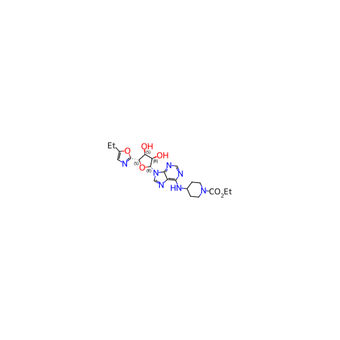 CCOC(=O)N1CCC(Nc2ncnc3c2ncn3[C@@H]2O[C@H](c3ncc(CC)o3)[C@@H](O)[C@H]2O)CC1